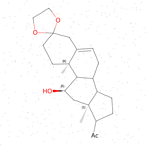 CC(=O)C1CCC2C3CC=C4CC5(CC[C@]4(C)C3[C@H](O)C[C@]12C)OCCO5